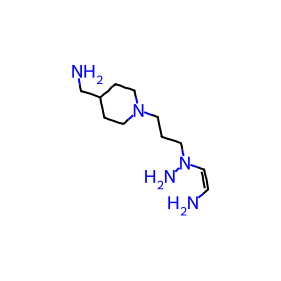 N/C=C\N(N)CCCN1CCC(CN)CC1